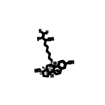 C=C[C@@]12CCc3cc(O)ccc3[C@H]1[C@@H](CCCCCCC(O)C(F)=C(F)F)C[C@@]1(C)[C@H]2CC[C@@H]1O